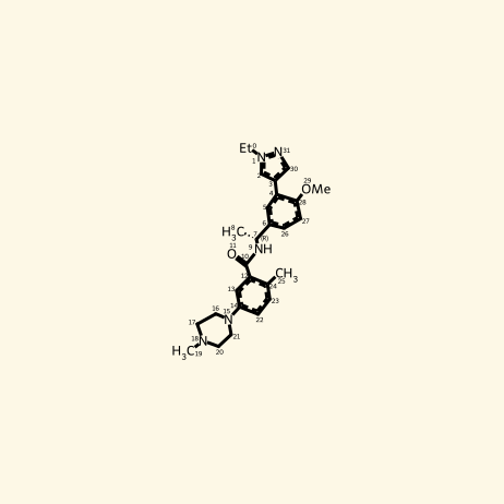 CCn1cc(-c2cc([C@@H](C)NC(=O)c3cc(N4CCN(C)CC4)ccc3C)ccc2OC)cn1